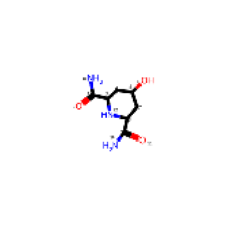 NC(=O)C1CC(O)CC(C(N)=O)N1